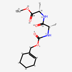 C[C@H](NC(=O)OCC1=CCCCC1)C(=O)N[C@@H](C)C(=O)OC(C)(C)C